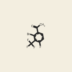 CC(=O)c1ccc(F)c(C(F)(F)F)c1Br